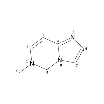 CN1C=Cc2n[c]cn2C1